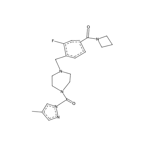 Cc1cnn(C(=O)N2CCN(Cc3ccc(C(=O)N4CCC4)cc3F)CC2)c1